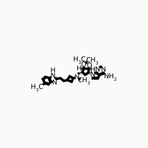 Cc1ccc2[nH]c(CCC3CC(N(C)C[C@H]4C[C@@H](n5ccc6c(N)ncnc65)[C@@H]5OC(C)(C)O[C@H]45)C3)nc2c1